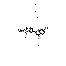 COC(=O)c1cc(-c2cc(Cl)c3ccc(Cl)cc3n2)c[nH]1